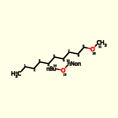 CCCCCCCCCCOC.CCCCCCCCCOCCCC